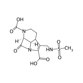 CS(=O)(=O)NCC1=C(C(=O)O)N2C(=O)[C@@H]3[C@H]2C1CCN3C(=O)O